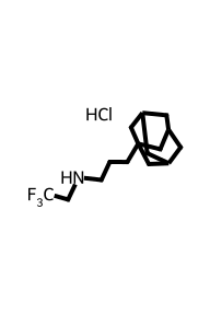 Cl.FC(F)(F)CNCCCC12CC3CC(CC(C3)C1)C2